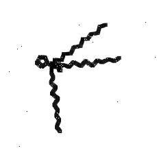 CCCCCCCCCCC[CH2][Pt]([CH2]CCCCCCCCCCC)([CH2]CCCCCCCCCCC)[CH]1C=CC=C1